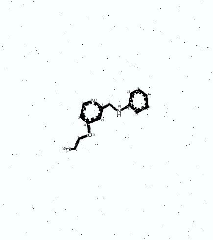 [18F]CCOc1ccnc(CNc2ccccc2)c1